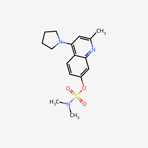 Cc1cc(N2CCCC2)c2ccc(OS(=O)(=O)N(C)C)cc2n1